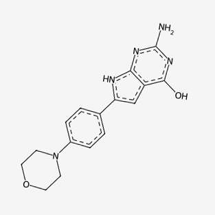 Nc1nc(O)c2cc(-c3ccc(N4CCOCC4)cc3)[nH]c2n1